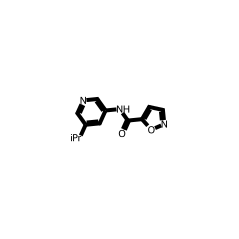 CC(C)c1cncc(NC(=O)c2ccno2)c1